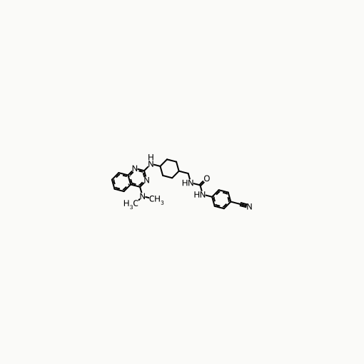 CN(C)c1nc(NC2CCC(CNC(=O)Nc3ccc(C#N)cc3)CC2)nc2ccccc12